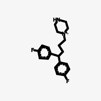 Fc1ccc(C(CCC[N+]2CCNCC2)c2ccc(F)cc2)cc1